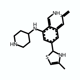 C=C/C=c1/cc(C2NC(C)=CS2)cc(NC2CCNCC2)/c1=C/N